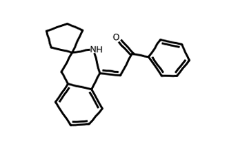 O=C(C=C1NC2(CCCC2)Cc2ccccc21)c1ccccc1